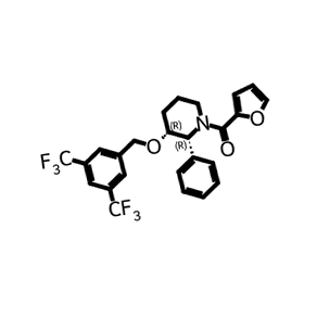 O=C(c1ccco1)N1CCC[C@@H](OCc2cc(C(F)(F)F)cc(C(F)(F)F)c2)[C@H]1c1ccccc1